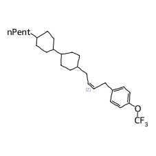 CCCCCC1CCC(C2CCC(C/C=C\Cc3ccc(OC(F)(F)F)cc3)CC2)CC1